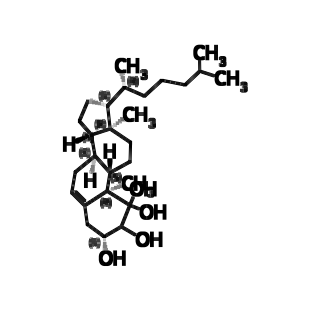 CC(C)CCC[C@@H](C)[C@H]1CC[C@H]2[C@@H]3CC=C4C[C@@H](O)C(O)C(O)(O)[C@]4(C)[C@H]3CC[C@]12C